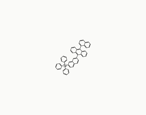 c1ccc([Si](c2ccccc2)(c2ccccc2)c2ccc3ccc(-c4c5ccccc5c(-c5cccc6ccccc56)c5ccccc45)cc3c2)cc1